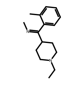 CCN1CCC(/C(=N/C)c2ccccc2C)CC1